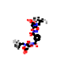 CC(C)CNC(=O)[C@@H](CC(=O)O)ONC(=O)c1cccc(C(=O)NO[C@H](CC(=O)O)C(=O)NCC(C)C)c1